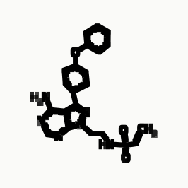 C=CS(=O)(=O)NCCn1nc(-c2ccc(Oc3ccccc3)cc2)c2c(N)ncnc21